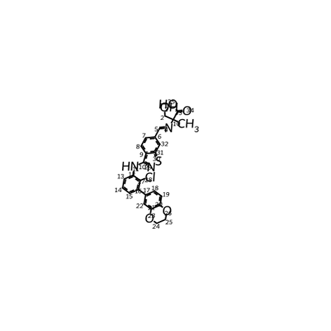 CC(CO)(N=Cc1ccc2c(Nc3cccc(-c4ccc5c(c4)OCCO5)c3Cl)nsc2c1)C(=O)O